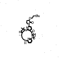 C[C@H]1CCNc2cccc(n2)S(=O)(=O)NC(=O)c2ccc(N3CCC(OCCC(C)(C)C)C3=O)nc2N2C[C@@H]1CC2(C)C